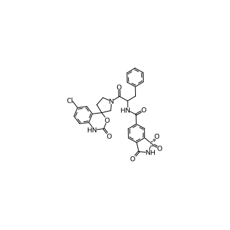 O=C1Nc2ccc(Cl)cc2C2(CCN(C(=O)C(Cc3ccccc3)NC(=O)c3ccc4c(c3)S(=O)(=O)NC4=O)C2)O1